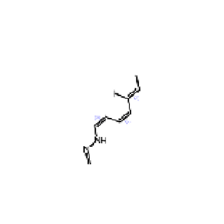 C=NN\C=C/C=C\C(I)=C\C